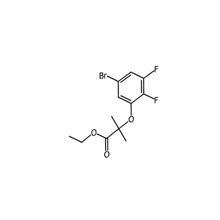 CCOC(=O)C(C)(C)Oc1cc(Br)cc(F)c1F